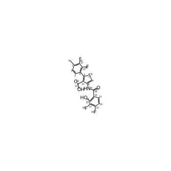 Cc1ccc(-c2scc(NC(=O)c3ccc(F)c(F)c3O)c2C(=O)O)c(F)c1F